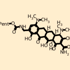 CCCCCOC(=O)NCc1cc(N(C)C)c2c(c1O)C(=O)C1=C(O)[C@]3(O)C(=O)C(C(N)=O)=C(O)[C@@H](N(C)C)[C@@H]3C[C@@H]1C2